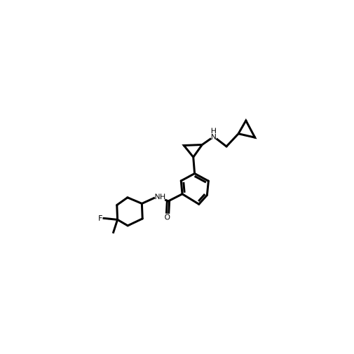 CC1(F)CCC(NC(=O)c2cccc(C3CC3NCC3CC3)c2)CC1